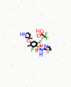 Cc1c(OC2(C)CCNC2)cc(F)c(S(=O)(=O)Nc2nccs2)c1F.O=C(O)C(F)(F)F